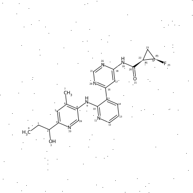 CCC(O)c1cc(C)c(Nc2ncccc2-c2cc(NC(=O)[C@H]3C[C@H]3F)ncn2)cn1